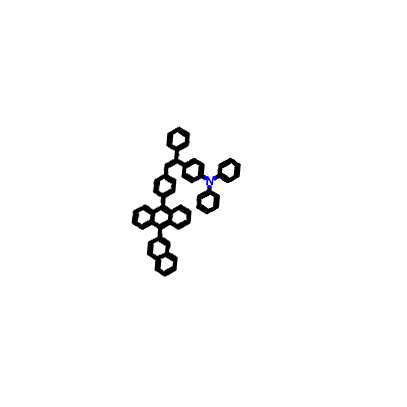 C(=C(c1ccccc1)c1ccc(N(c2ccccc2)c2ccccc2)cc1)c1ccc(-c2c3ccccc3c(-c3ccc4ccccc4c3)c3ccccc23)cc1